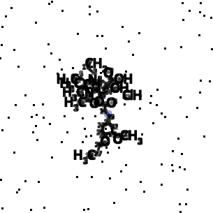 C=CCN(CC=C)[C@@H]1C[C@@](O)(C(=O)O)C[C@@H](OC(=O)/C=C/c2ccc(OCCC)c(OC)c2)[C@H]1N(C(C)=O)C(C)(C)C.Cl